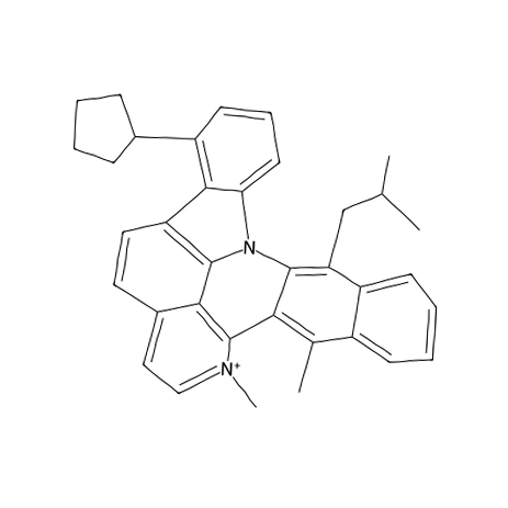 Cc1c2ccccc2c(CC(C)C)c2c1c1c3c(ccc4c5c(C6CCCC6)cccc5n2c43)cc[n+]1C